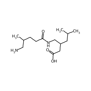 CC(C)CC(CNC(=O)CCC(C)CN)CC(=O)O